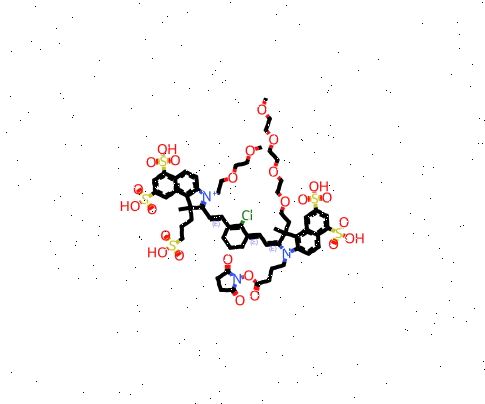 COCCOCCOCCOCCC1(C)/C(=C\C=C2/CCCC(/C=C/C3=[N+](CCOCCOC)c4ccc5c(S(=O)(=O)O)cc(S(=O)(=O)O)cc5c4C3(C)CCCS(=O)(=O)O)=C2Cl)N(CCCC(=O)ON2C(=O)CCC2=O)c2ccc3c(S(=O)(=O)O)cc(S(=O)(=O)O)cc3c21